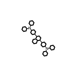 c1ccc(N(c2ccccc2)c2ccc(-c3ccc(-c4ccc(N(c5ccccc5)c5ccccc5)cc4)c4ccccc34)cc2)cc1